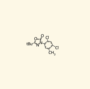 Cc1cc(-n2nc(C(C)(C)C)oc2=O)c(Cl)cc1Cl